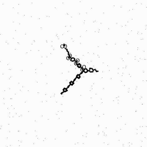 C#Cc1ccc(C#Cc2ccc(C#Cc3ccc(C#CC4(OC(=O)c5ccc(OC(=O)C6CCC(C(=O)OCCCCCOC(C)=O)CC6)cc5)CCC(C5CCC(CCC)CC5)CC4)cc3)cc2)cc1